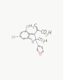 C=C(C(=O)O)C1=c2c(Cl)cc(Cl)cc2=NC1(C(=O)O)c1ccoc1